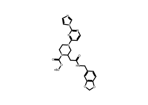 CCCCOC(=O)N1CCN(c2ccnc(-n3ccnc3)n2)CC1CC(=O)NCc1ccc2c(c1)OCO2